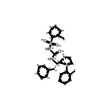 Cc1ccccc1-n1ccnc1[C@H](Cc1ccccc1)NC(=O)NS(=O)(=O)c1ccccc1C